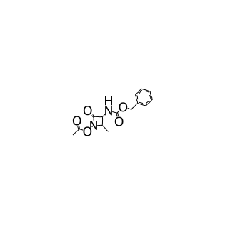 CC(=O)ON1C(=O)C(NC(=O)OCc2ccccc2)C1C